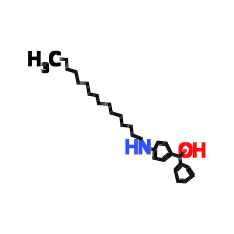 CCCCCCCCCCCCCCCCNc1ccc(C(O)c2ccccc2)cc1